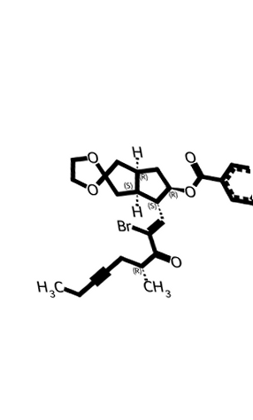 CCC#CC[C@@H](C)C(=O)C(Br)=C[C@@H]1[C@H]2CC3(C[C@H]2C[C@H]1OC(=O)c1ccccc1)OCCO3